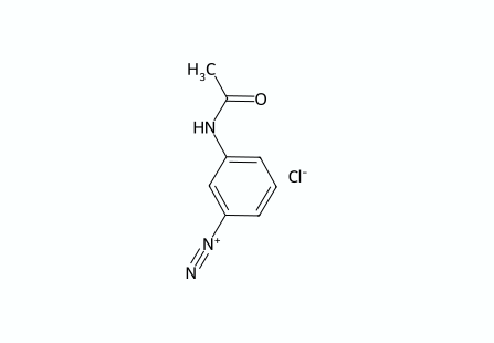 CC(=O)Nc1cccc([N+]#N)c1.[Cl-]